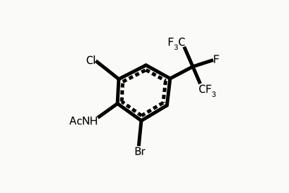 CC(=O)Nc1c(Cl)cc(C(F)(C(F)(F)F)C(F)(F)F)cc1Br